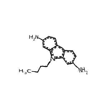 CCCCn1c2cc(N)ccc2c2ccc(N)cc21